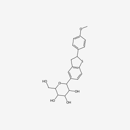 COc1ccc(C2Cc3cc(C4OC(CO)C(O)C(O)C4O)ccc3S2)cc1